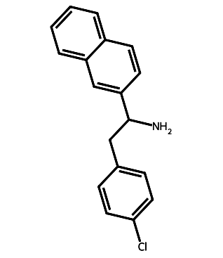 NC(Cc1ccc(Cl)cc1)c1ccc2ccccc2c1